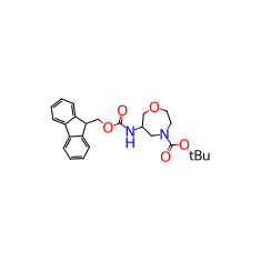 CC(C)(C)OC(=O)N1CCOCC(NC(=O)OCC2c3ccccc3-c3ccccc32)C1